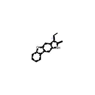 C=c1[nH]c2cc3c(cc2/c1=C/C)oc1ccccc13